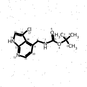 CC(C)(C)OC(=O)NCc1ccnc2[nH]cc(Cl)c12